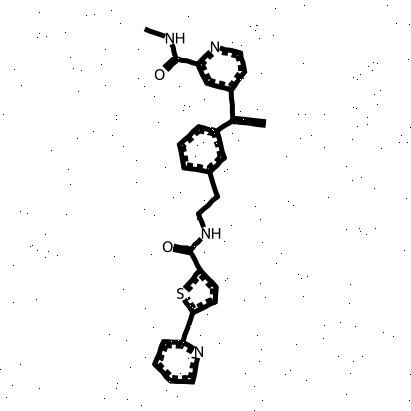 C=C(c1cccc(CCNC(=O)c2ccc(-c3ccccn3)s2)c1)c1ccnc(C(=O)NC)c1